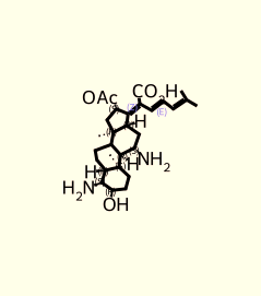 CC(=O)O[C@H]1C[C@]2(C)C3CC[C@H]4[C@H](N)[C@H](O)CC[C@]4(C)[C@@H]3[C@@H](N)C[C@H]2/C1=C(\C=C\C=C(C)C)C(=O)O